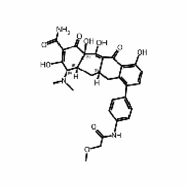 COCC(=O)Nc1ccc(-c2ccc(O)c3c2C[C@@H]2C[C@@H]4[C@@H](N(C)C)C(O)=C(C(N)=O)C(=O)[C@]4(O)C(O)=C2C3=O)cc1